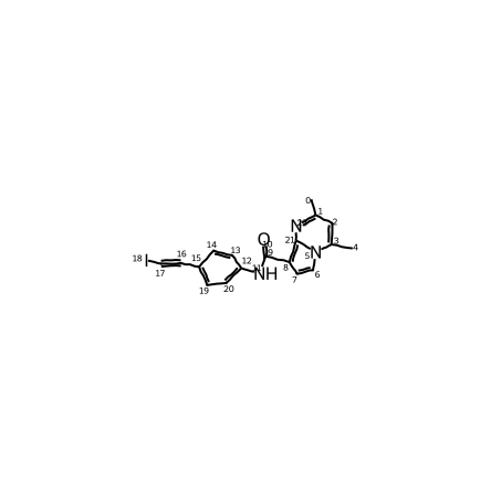 Cc1cc(C)n2ccc(C(=O)Nc3ccc(C#CI)cc3)c2n1